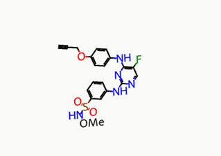 C#CCOc1ccc(Nc2nc(Nc3cccc(S(=O)(=O)NOC)c3)ncc2F)cc1